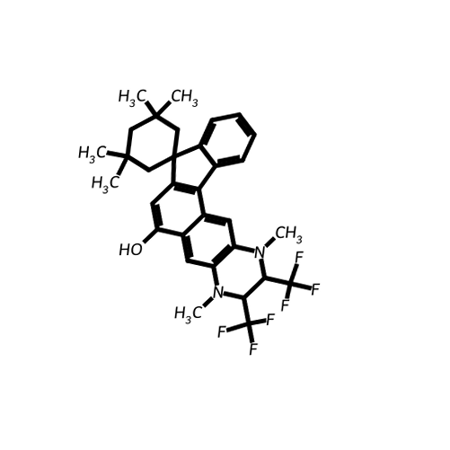 CN1c2cc3c(O)cc4c(c3cc2N(C)C(C(F)(F)F)C1C(F)(F)F)-c1ccccc1C41CC(C)(C)CC(C)(C)C1